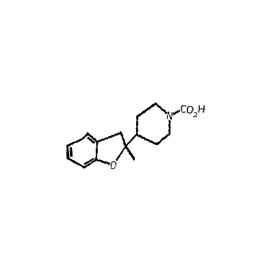 CC1(C2CCN(C(=O)O)CC2)Cc2ccccc2O1